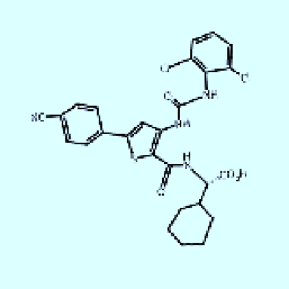 N#Cc1ccc(-c2cc(NC(=O)Nc3c(Cl)cccc3Cl)c(C(=O)N[C@H](C(=O)O)C3CCCCC3)s2)cc1